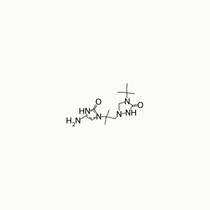 CC(C)(C)N1CN(CC(C)(C)n2cc(N)[nH]c2=O)NC1=O